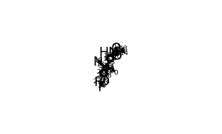 CCn1c(-c2ccc(NS(=O)(=O)C3CC3)cc2)c(C#N)c2ccc(OC(F)F)cc21